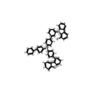 Fc1cccc2c3ccccc3n(-c3cccc(-c4ccc(N(c5ccc(-c6ccccc6)cc5)c5ccc(-c6cccc7oc8ccccc8c67)cc5)cc4)c3)c12